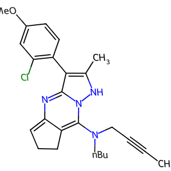 CC#CCN(CCCC)C1=C2CCC=C2N=C2C(c3ccc(OC)cc3Cl)=C(C)NN21